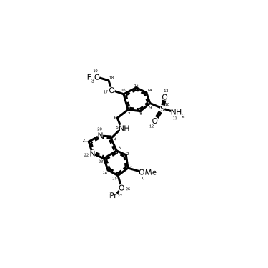 COc1cc2c(NCc3cc(S(N)(=O)=O)ccc3OCC(F)(F)F)ncnc2cc1OC(C)C